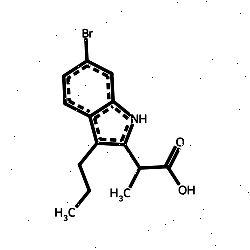 CCCc1c(C(C)C(=O)O)[nH]c2cc(Br)ccc12